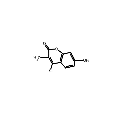 Cc1c(Cl)c2ccc(O)cc2oc1=O